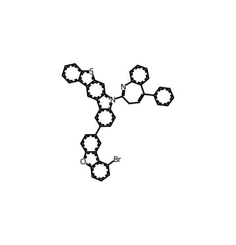 Brc1cccc2oc3ccc(-c4ccc5c(c4)c4cc6c(cc4n5C4=Nc5ccccc5C(c5ccccc5)=CC4)sc4ccccc46)cc3c12